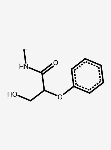 [CH2]NC(=O)C(CO)Oc1ccccc1